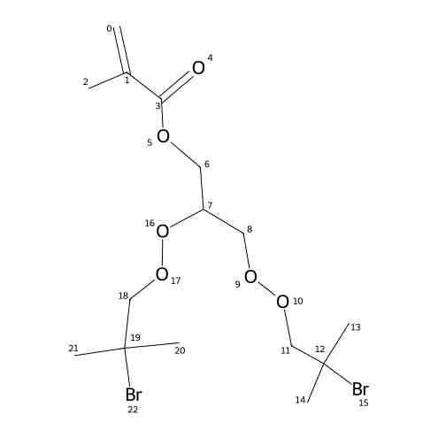 C=C(C)C(=O)OCC(COOCC(C)(C)Br)OOCC(C)(C)Br